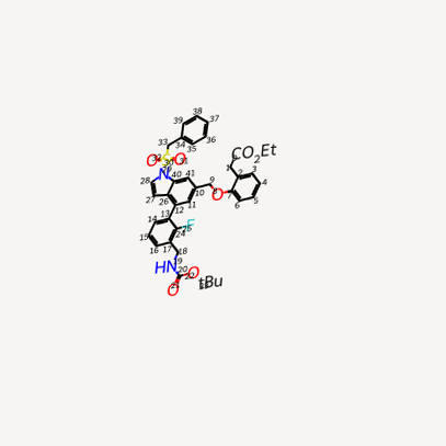 CCOC(=O)Cc1ccccc1OCc1cc(-c2cccc(CNC(=O)OC(C)(C)C)c2F)c2ccn(S(=O)(=O)Cc3ccccc3)c2c1